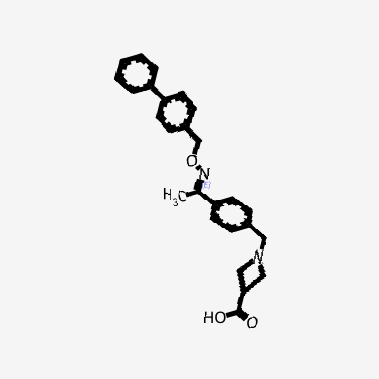 C/C(=N\OCc1ccc(-c2ccccc2)cc1)c1ccc(CN2CC(C(=O)O)C2)cc1